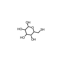 OC1C(O)[C@@H](O)OC(CS)[C@H]1O